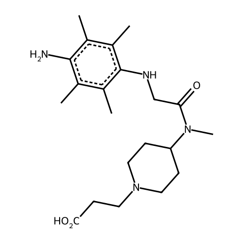 Cc1c(C)c(NCC(=O)N(C)C2CCN(CCC(=O)O)CC2)c(C)c(C)c1N